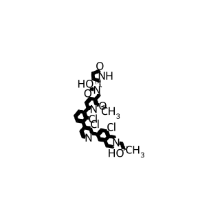 COc1nc(-c2cccc(-c3ccnc(-c4cc(Cl)c5c(c4)CCN(C[C@H](C)O)C5)c3Cl)c2Cl)ccc1CN(C[C@@H]1CCC(=O)N1)C(=O)O